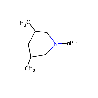 CC[CH]N1CC(C)CC(C)C1